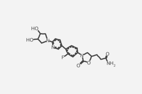 NC(=O)CCC1CN(c2ccc(-c3ccc(N4CC(O)C(O)C4)nc3)c(F)c2)C(=O)O1